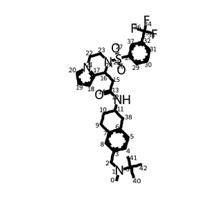 CN(Cc1ccc2c(c1)CCC(NC(=O)CC1c3cccn3CCN1S(=O)(=O)c1cccc(C(F)(F)F)c1)C2)C(C)(C)C